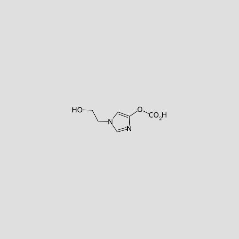 O=C(O)Oc1cn(CCO)cn1